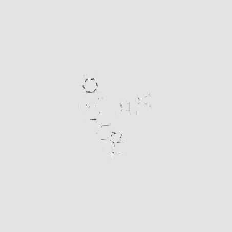 N[C@@H](CC(=O)N1CCn2c(nnc2C(F)(F)F)C1)Cc1cc(F)c(F)cc1F.O=P(O)(O)O.O=P(O)(O)O